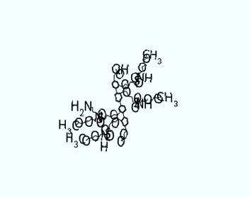 COCCOCCNS(=O)(=O)CCCOC1c2cc(CC(=O)O)ccc2-c2ccc(-c3ccc4c(c3)C(OCCCS(=O)(=O)N(CCCN)CCOCCOC)C(OCCCS(=O)(=O)NCCOCCOC)c3cc(COC=O)ccc3-4)cc2C1OCCCS(=O)(=O)NCCOCCOC